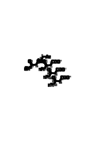 CC(=O)CC(C)=O.CCCC(=O)CC(=O)[O-].CCCC(=O)CC(=O)[O-].CCCC(=O)CC(=O)[O-].CCCC(=O)CC(=O)[O-].[Zr+4]